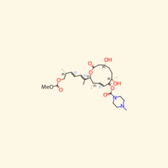 COC(=O)OC[C@H](C)/C=C/C=C(\C)[C@H]1OC(=O)C[C@H](O)CC[C@@](C)(O)[C@@H](OC(=O)N2CCN(C)CC2)/C=C/[C@@H]1C